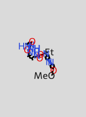 CCN(CCOC(=O)NCCC(C)CC(C)(C)CNC(=O)Nc1nc(=O)cc(C)[nH]1)c1ccc(/N=N/c2ccc(OCCOC)cc2)cc1